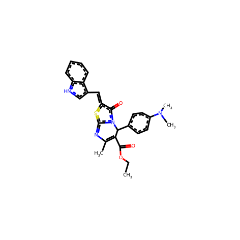 CCOC(=O)C1=C(C)N=c2s/c(=C\c3c[nH]c4ccccc34)c(=O)n2C1c1ccc(N(C)C)cc1